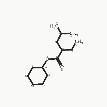 CCC(CC(C)C)C(=O)OC1CCCCC1